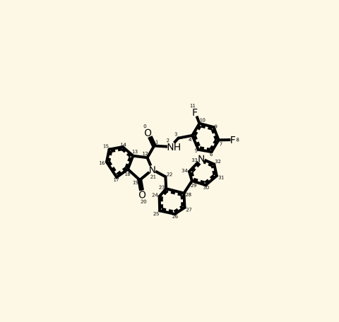 O=C(NCc1ccc(F)cc1F)C1c2ccccc2C(=O)N1Cc1ccccc1-c1cccnc1